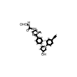 C#Cc1ccc(N2C[C@H](O)C[C@@H]2c2ccc(C3=NCCN3C)cc2)cc1.NC(=O)NC=O